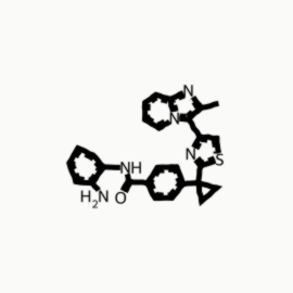 Cc1nc2ccccn2c1-c1csc(C2(c3ccc(C(=O)Nc4ccccc4N)cc3)CC2)n1